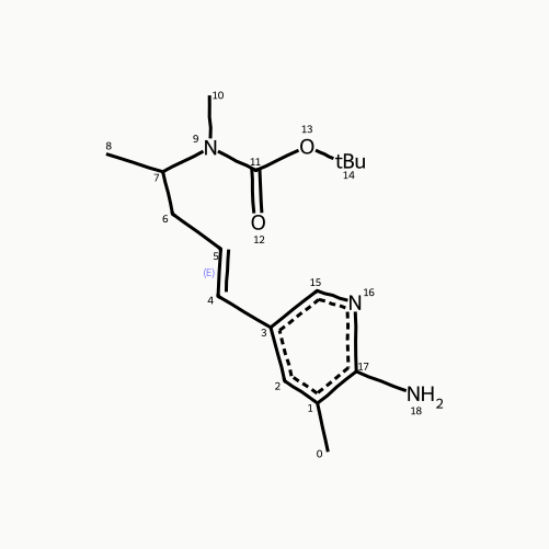 Cc1cc(/C=C/CC(C)N(C)C(=O)OC(C)(C)C)cnc1N